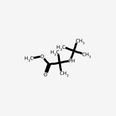 COC(=O)C(C)(C)PC(C)(C)C